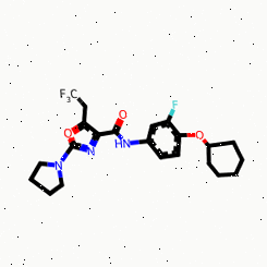 O=C(Nc1ccc(OC2CCCCC2)c(F)c1)c1nc(N2CCCC2)oc1CC(F)(F)F